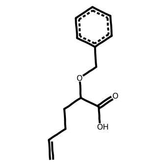 C=CCCC(OCc1ccccc1)C(=O)O